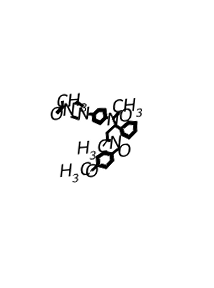 COc1ccc(C(=O)N2c3ccccc3[C@H](N(C(C)=O)c3ccc(N4CCN(C(C)=O)CC4)cc3)C[C@@H]2C)cc1